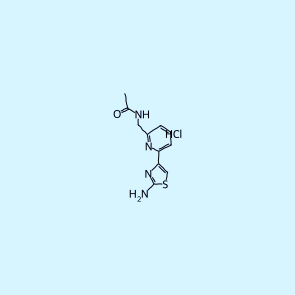 CC(=O)NCc1cccc(-c2csc(N)n2)n1.Cl